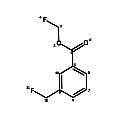 O=C(OCF)c1cccc(CF)c1